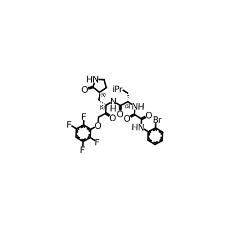 CC(C)C[C@H](NC(=O)C(=O)Nc1ccccc1Br)C(=O)N[C@@H](C[C@@H]1CCNC1=O)C(=O)COc1c(F)c(F)cc(F)c1F